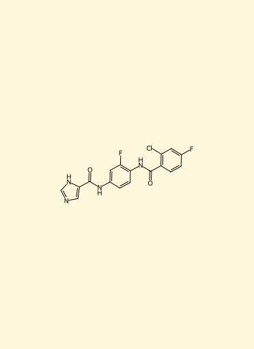 O=C(Nc1ccc(NC(=O)c2ccc(F)cc2Cl)c(F)c1)c1cnc[nH]1